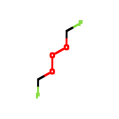 FCOOOCF